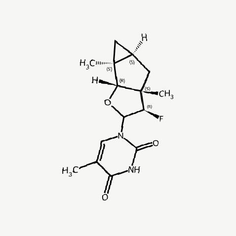 Cc1cn(C2O[C@@H]3[C@@]4(C)C[C@H]4C[C@]3(C)[C@H]2F)c(=O)[nH]c1=O